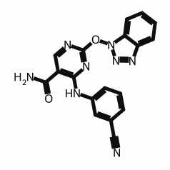 N#Cc1cccc(Nc2nc(On3nnc4ccccc43)ncc2C(N)=O)c1